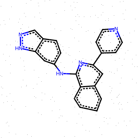 c1ccc2c(Nc3ccc4cn[nH]c4c3)nc(-c3ccncc3)cc2c1